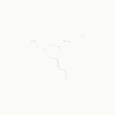 CC/C=C1/CC(OP)CC(COP)O1